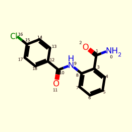 NC(=O)c1ccccc1NC(=O)c1ccc(Cl)cc1